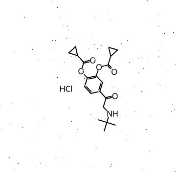 CC(C)(C)NCC(=O)c1ccc(OC(=O)C2CC2)c(OC(=O)C2CC2)c1.Cl